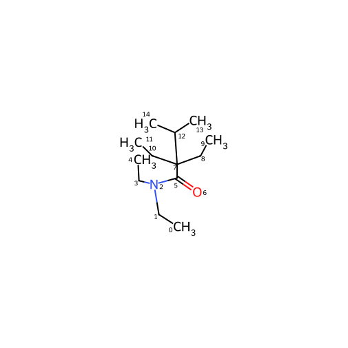 CCN(CC)C(=O)C(CC)(CC)C(C)C